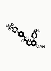 CCS(=O)(=O)N1CCN(c2ccc(NC(=O)C3CCc4cc(OC)cc(N5CCN(C)CC5)c4O3)cc2)CC1